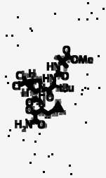 COC(=O)C(C)(C)NC(=O)N[C@H](C(=O)N1C[C@H]2[C@@H]([C@H]1C(=O)NC(CC1CC1)C(=O)C(N)=O)C2(Cl)Cl)C(C)(C)C